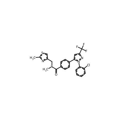 Cc1nc(CN(C)C(=O)c2ccc(-c3cc(C(F)(F)F)nn3-c3ccccc3Cl)cc2)cs1